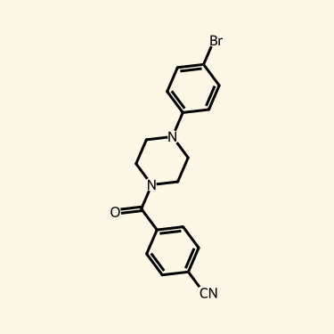 N#Cc1ccc(C(=O)N2CCN(c3ccc(Br)cc3)CC2)cc1